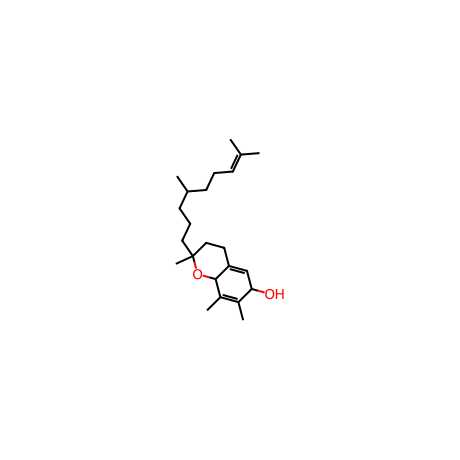 CC(C)=CCCC(C)CCCC1(C)CCC2=CC(O)C(C)=C(C)C2O1